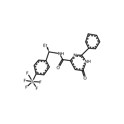 CC[C@@H](NC(=O)c1cc(=O)[nH]c(-c2ccccc2)n1)c1ccc(S(F)(F)(F)(F)F)cc1